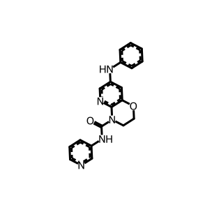 O=C(Nc1cccnc1)N1CCOc2cc(Nc3ccccc3)cnc21